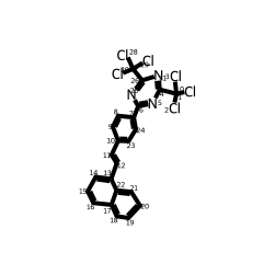 ClC(Cl)(Cl)c1nc(-c2ccc(C=Cc3cccc4ccccc34)cc2)nc(C(Cl)(Cl)Cl)n1